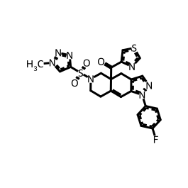 Cn1cc(S(=O)(=O)N2CCC3=Cc4c(cnn4-c4ccc(F)cc4)CC3(C(=O)c3cscn3)C2)nn1